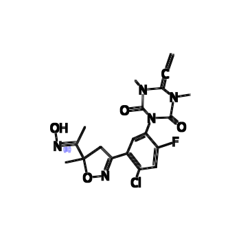 C=C=C1N(C)C(=O)N(c2cc(C3=NOC(C)(/C(C)=N/O)C3)c(Cl)cc2F)C(=O)N1C